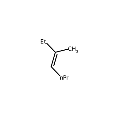 C[CH]CC=C(C)CC